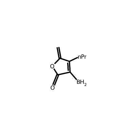 BC1=C(CCC)C(=C)OC1=O